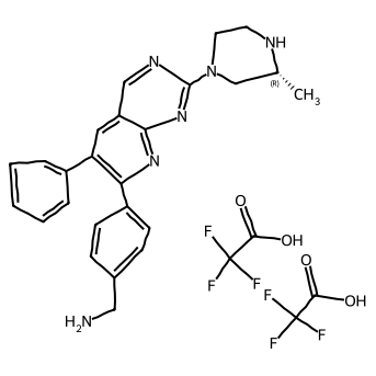 C[C@@H]1CN(c2ncc3cc(-c4ccccc4)c(-c4ccc(CN)cc4)nc3n2)CCN1.O=C(O)C(F)(F)F.O=C(O)C(F)(F)F